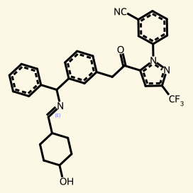 N#Cc1cccc(-n2nc(C(F)(F)F)cc2C(=O)Cc2cccc(C(/N=C/C3CCC(O)CC3)c3ccccc3)c2)c1